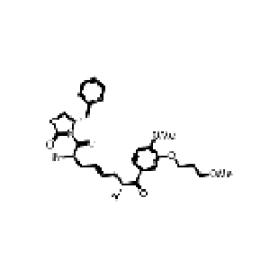 COCCCOc1cc(C(=O)[C@@H](C/C=C/CC(C(=O)N2C(=O)OC[C@@H]2Cc2ccccc2)C(C)C)C(C)C)ccc1OC